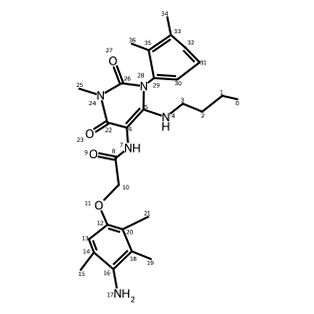 CCCCNc1c(NC(=O)COc2cc(C)c(N)c(C)c2C)c(=O)n(C)c(=O)n1-c1cccc(C)c1C